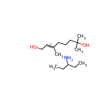 C/C(=C\CO)CCCC(C)(C)O.CCC(N)CC